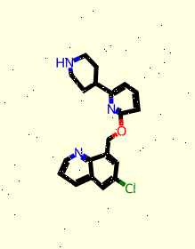 Clc1cc(COc2cccc(C3CCNCC3)n2)c2ncccc2c1